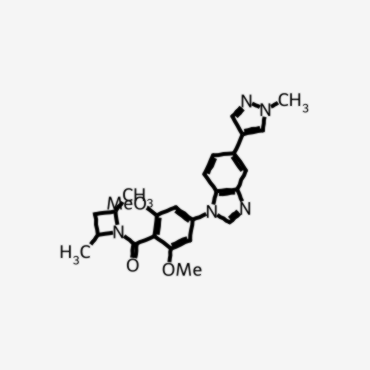 COc1cc(-n2cnc3cc(-c4cnn(C)c4)ccc32)cc(OC)c1C(=O)N1C(C)CC1C